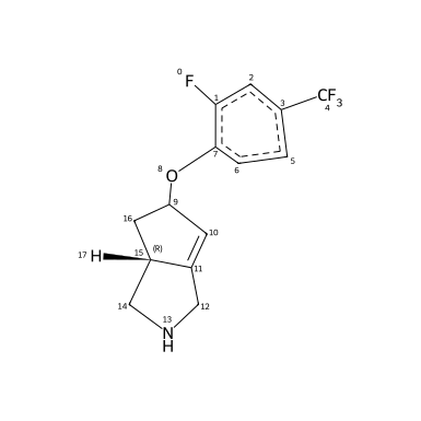 Fc1cc(C(F)(F)F)ccc1OC1C=C2CNC[C@@H]2C1